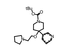 CC(C)(C)OC(=O)N1CCC(OCCN2CCCC2)(c2cccnc2)CC1